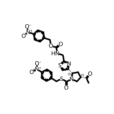 CC(=O)[C@H]1C[C@@H](c2csc(CNC(=O)OCc3ccc([N+](=O)[O-])cc3)n2)N(C(=O)SCc2ccc([N+](=O)[O-])cc2)C1